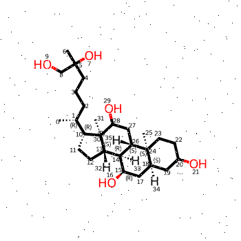 C[C@H](CCCC(C)(O)CO)[C@H]1CC[C@H]2[C@@H]3[C@H](O)C[C@@H]4CC(O)CC[C@]4(C)[C@H]3CC(O)[C@]12C